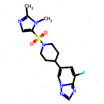 Cc1ncc(S(=O)(=O)N2CCC(c3cc(F)c4ncnn4c3)CC2)n1C